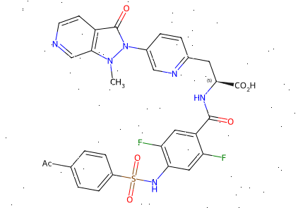 CC(=O)c1ccc(S(=O)(=O)Nc2cc(F)c(C(=O)N[C@@H](Cc3ccc(-n4c(=O)c5ccncc5n4C)cn3)C(=O)O)cc2F)cc1